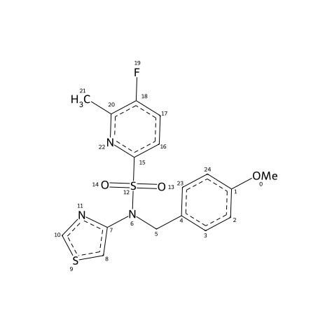 COc1ccc(CN(c2cscn2)S(=O)(=O)c2ccc(F)c(C)n2)cc1